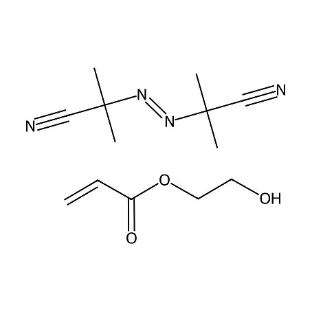 C=CC(=O)OCCO.CC(C)(C#N)N=NC(C)(C)C#N